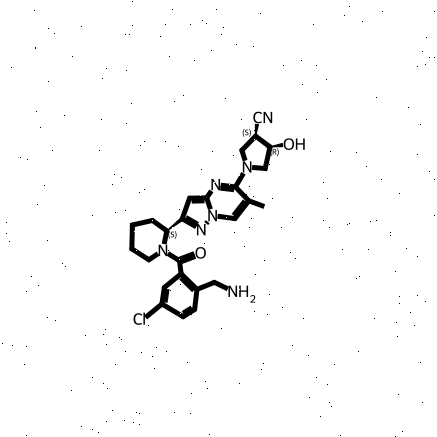 Cc1cn2nc([C@@H]3CCCCN3C(=O)c3cc(Cl)ccc3CN)cc2nc1N1C[C@@H](C#N)[C@@H](O)C1